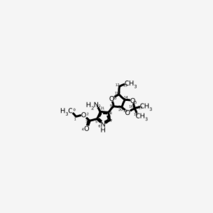 CCOC(=O)c1[nH]cc(C2OC(CC)C3OC(C)(C)OC23)c1N